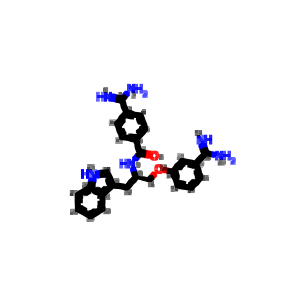 N=C(N)c1ccc(C(=O)N[C@@H](COc2cccc(C(=N)N)c2)Cc2c[nH]c3ccccc23)cc1